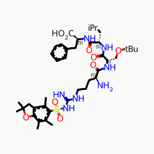 Cc1c(C)c(S(=O)(=O)NC(=N)NCCC[C@H](N)C(=O)N[C@@H](COC(C)(C)C)C(=O)N[C@@H](CC(C)C)C(=O)N[C@@H](Cc2ccccc2)C(=O)O)c(C)c2c1OC(C)(C)C2